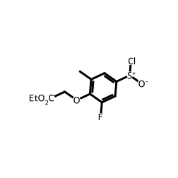 CCOC(=O)COc1c(C)cc([S+]([O-])Cl)cc1F